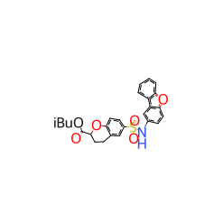 CC(C)COC(=O)C1CCc2cc(S(=O)(=O)Nc3ccc4oc5ccccc5c4c3)ccc2O1